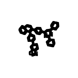 c1ccc(-c2cc(-c3ccc(-c4ccc5ccccc5c4-c4ccc(-c5ccc6ncoc6c5)cc4)cc3)nc(-c3ccccc3)n2)cc1